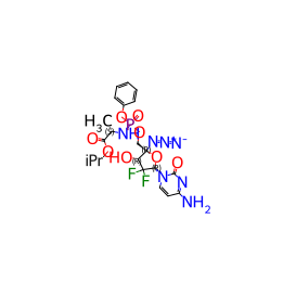 CC(C)OC(=O)[C@H](C)NP(=O)(OC[C@@]1(N=[N+]=[N-])O[C@@H](n2ccc(N)nc2=O)C(F)(F)[C@@H]1O)Oc1ccccc1